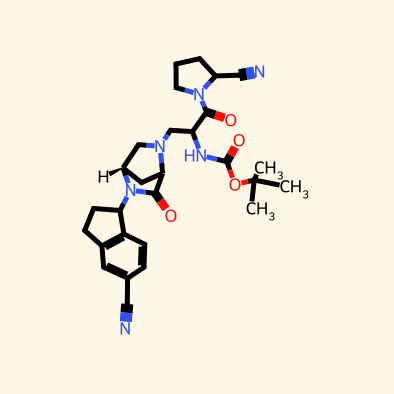 CC(C)(C)OC(=O)NC(CN1C[C@@H]2CC1C(=O)N2C1CCc2cc(C#N)ccc21)C(=O)N1CCCC1C#N